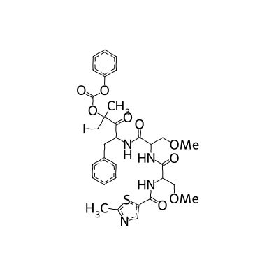 COCC(NC(=O)c1cnc(C)s1)C(=O)NC(COC)C(=O)NC(Cc1ccccc1)C(=O)C(C)(CI)OC(=O)Oc1ccccc1